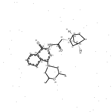 CC1CN(c2nn(NC(=O)C[C@H]3C[C@@H]4CC[C@H]3C4)c(=O)c3ccccc23)CC(C)O1